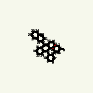 Cc1cccc(-c2ccccc2-c2c3ccccc3c(-c3ccc4ccccc4c3)c3ccccc23)c1